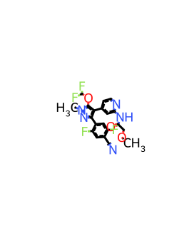 COCC(=O)Nc1cc(-c2c(-c3cc(F)c(C#N)cc3F)nn(C)c2OC(F)F)ccn1